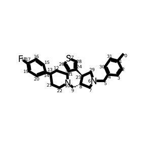 Cc1ccc(CN2C[C@H](CN3CCC(c4ccc(F)cc4)CC3)[C@@H](c3ccsc3)C2)cc1